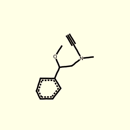 C#CN(C)CC(OC)c1ccccc1